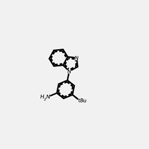 CC(C)(C)c1cc(N)cc(-n2cnc3ccccc32)c1